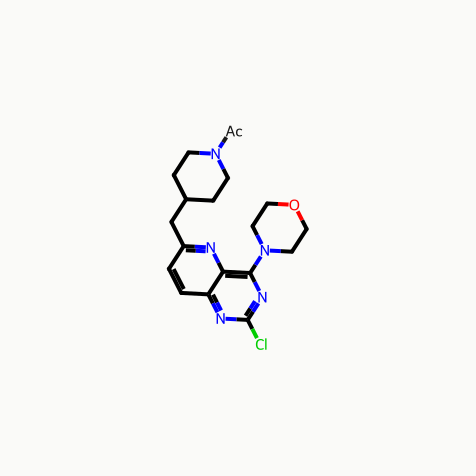 CC(=O)N1CCC(Cc2ccc3nc(Cl)nc(N4CCOCC4)c3n2)CC1